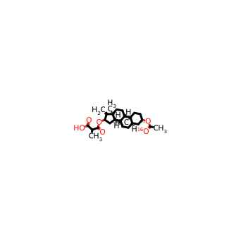 C=C1C(OC(=O)C(C)C(=O)O)C[C@H]2[C@@H]3CC[C@@H]4C[C@H](OC(C)=[16O])CC[C@]4(C)[C@H]3CC[C@]12C